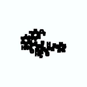 COc1ccc(-c2cccc3c2C(=Cc2[nH]c(C)c(C(=O)NCCn4ccnn4)c2C)C(=O)N3)cc1